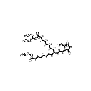 CCCCCCCCCOC(=O)CCCCCCCN(CCCCCCCC(=O)OC(CCCCCCCC)CCCCCCCC)CCCN1C(=O)CNC1O